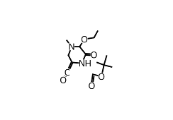 CC(C)(C)OC=O.CCOC1C(=O)NC(=C=O)CN1C